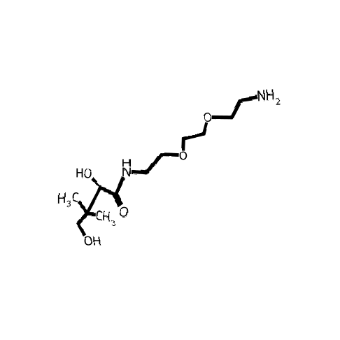 CC(C)(CO)[C@@H](O)C(=O)NCCOCCOCCN